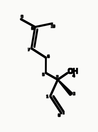 [CH]=C[C@@](C)(O)CCC=C(C)C